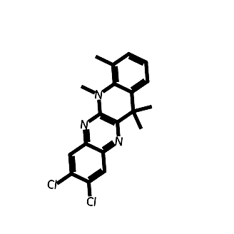 Cc1cccc2c1N(C)c1nc3cc(Cl)c(Cl)cc3nc1C2(C)C